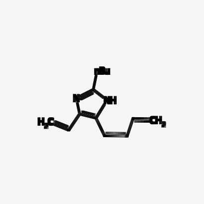 C=C/C=C\c1[nH]c(CCCC)nc1C=C